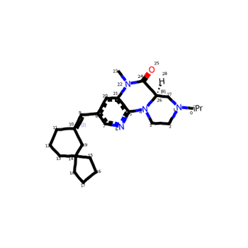 CC(C)N1CCN2c3ncc(/C=C4/CCCC5(CCCC5)C4)cc3N(C)C(=O)[C@H]2C1